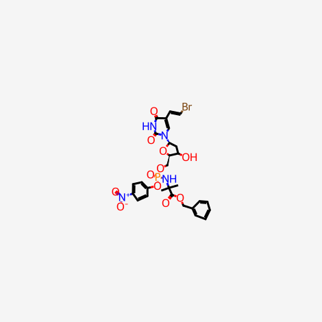 CC(C)(NP(=O)(OC[C@H]1O[C@@H](n2cc(/C=C/Br)c(=O)[nH]c2=O)CC1O)Oc1ccc([N+](=O)[O-])cc1)C(=O)OCc1ccccc1